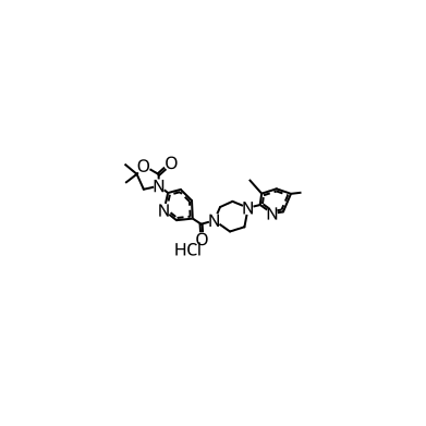 Cc1cnc(N2CCN(C(=O)c3ccc(N4CC(C)(C)OC4=O)nc3)CC2)c(C)c1.Cl